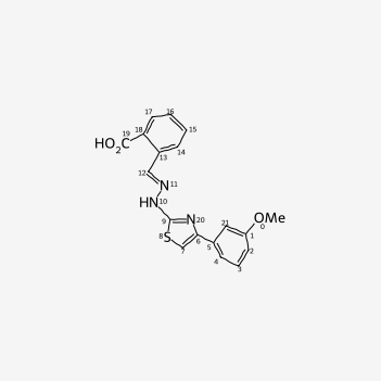 COc1cccc(-c2csc(NN=Cc3ccccc3C(=O)O)n2)c1